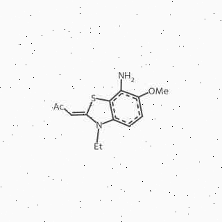 CCN1C(=CC(C)=O)Sc2c1ccc(OC)c2N